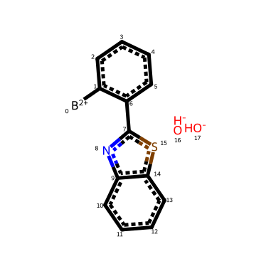 [B+2]c1ccccc1-c1nc2ccccc2s1.[OH-].[OH-]